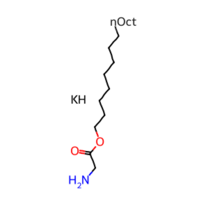 CCCCCCCCCCCCCCCCOC(=O)CN.[KH]